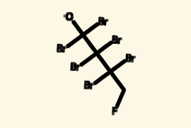 [O]C(Br)(Br)C(Br)(Br)C(Br)(Br)CF